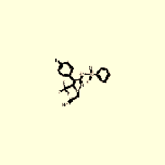 C#CCn1nc(NS(=O)(=O)c2ccccc2)c(-c2ccc(F)cc2)c1C(F)(F)F